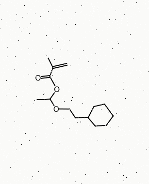 C=C(C)C(=O)OC(C)OCCC1CCCCC1